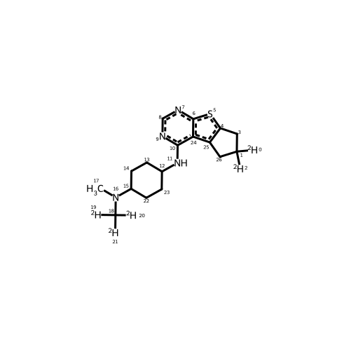 [2H]C1([2H])Cc2sc3ncnc(NC4CCC(N(C)C([2H])([2H])[2H])CC4)c3c2C1